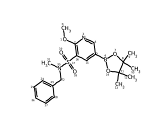 COc1ncc(B2OC(C)(C)C(C)(C)O2)cc1S(=O)(=O)N(C)Cc1ccccc1